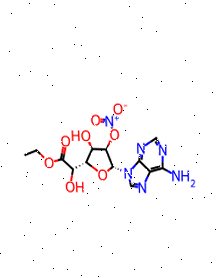 CCOC(=O)C(O)[C@H]1O[C@@H](n2cnc3c(N)ncnc32)[C@H](O[N+](=O)[O-])[C@@H]1O